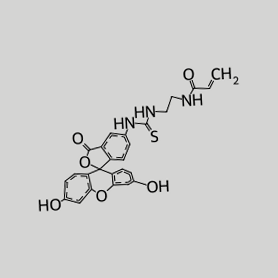 C=CC(=O)NCCNC(=S)Nc1ccc2c(c1)C(=O)OC21c2ccc(O)cc2Oc2cc(O)ccc21